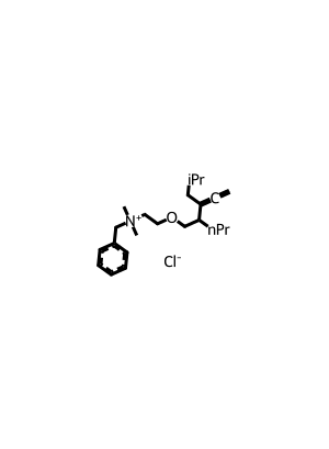 C=C=C(CC(C)C)C(CCC)COCC[N+](C)(C)Cc1ccccc1.[Cl-]